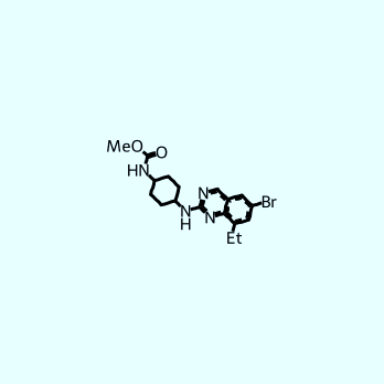 CCc1cc(Br)cc2cnc(NC3CCC(NC(=O)OC)CC3)nc12